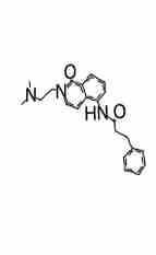 CN(C)CCn1ccc2c(NC(=O)CCc3ccccc3)cccc2c1=O